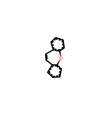 [c]1ccc2c(c1)C=Cc1ccccc1O2